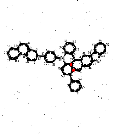 c1ccc(-c2ccc(N(c3ccc(-c4ccc5c(ccc6ccccc65)c4)cc3)c3ccccc3-c3cccc4cc5oc6ccccc6c5cc34)cc2)cc1